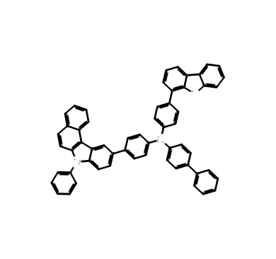 c1ccc(-c2ccc(N(c3ccc(-c4ccc5c(c4)c4c6ccccc6ccc4n5-c4ccccc4)cc3)c3ccc(-c4cccc5c4sc4ccccc45)cc3)cc2)cc1